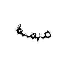 O=C(NCC1CCOCC1)c1cc(COCc2ccc(Cl)s2)on1